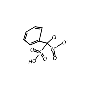 O=[N+]([O-])C(Cl)(c1ccccc1)S(=O)(=O)O